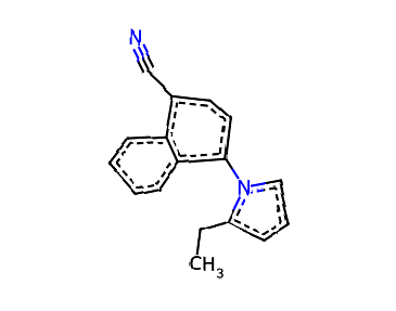 CCc1cccn1-c1ccc(C#N)c2ccccc12